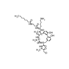 CCCCCCCC(=O)NCCC(=O)N[C@@H](CCCCN)C(=O)N(C)[C@@H]1C(=O)N[C@@H](N)C(=O)N[C@H](C(=O)N[C@@H](C)C(=O)CCl)Cc2ccc(O)c(c2)-c2cc1ccc2O